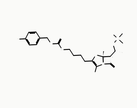 C[C@@H](O[Si](C)(C)C(C)(C)C)[C@@H]1C(=O)N2C(C(=O)O)=C(CCCCNC(=O)OCc3ccc([N+](=O)[O-])cc3)S[C@H]12